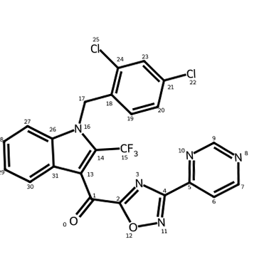 O=C(c1nc(-c2ccncn2)no1)c1c(C(F)(F)F)n(Cc2ccc(Cl)cc2Cl)c2ccccc12